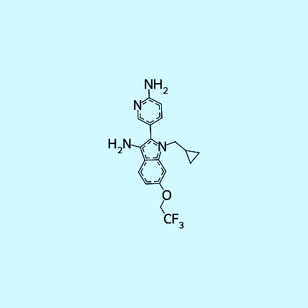 Nc1ccc(-c2c(N)c3ccc(OCC(F)(F)F)cc3n2CC2CC2)cn1